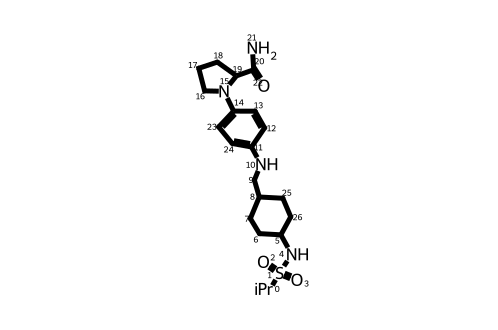 CC(C)S(=O)(=O)NC1CCC(CNc2ccc(N3CCCC3C(N)=O)cc2)CC1